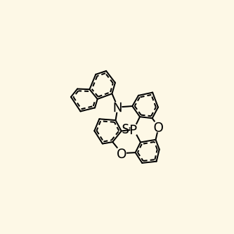 S=P12c3c4cccc3Oc3cccc(c31)N(c1cccc3ccccc13)c1cccc(c12)O4